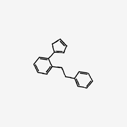 C1=CCC(c2ccccc2CCc2ccccc2)=C1